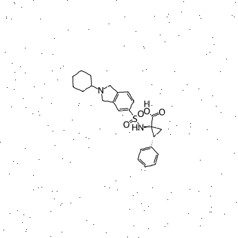 O=C(O)[C@]1(NS(=O)(=O)c2ccc3c(c2)CN(C2CCCCC2)C3)C[C@@H]1c1ccccc1